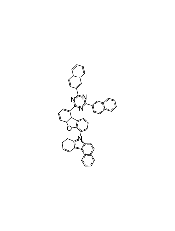 C1=CC2C=CC(c3nc(C4=CC=CC5Oc6c(cccc6-n6c7c(c8c9ccccc9ccc86)C=CCC7)C45)nc(-c4ccc5ccccc5c4)n3)=CC2C=C1